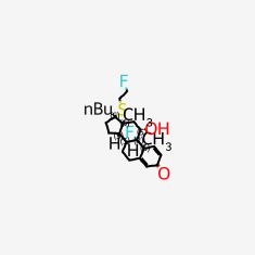 CCCC[C@]1(SCCF)CC[C@H]2[C@@H]3CCC4=CC(=O)C=C[C@]4(C)[C@@]3(F)[C@@H](O)C[C@@]21C